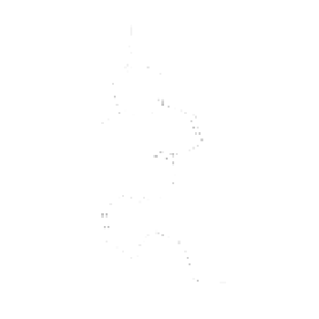 CCOc1ccccc1OC(=O)/C=C\c1cc(Cl)cc(Cl)c1